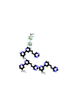 Cc1ccnc(-c2cc(CCc3cncnc3)ccn2)c1.Cc1ccnc(-c2cc(CCc3cncnc3)ccn2)c1.Cc1ccnc(-c2cc(CCc3cncnc3)ccn2)c1.F[P-](F)(F)(F)(F)F.F[P-](F)(F)(F)(F)F.[Fe+2]